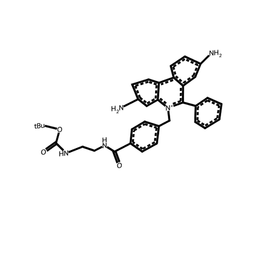 CC(C)(C)OC(=O)NCCNC(=O)c1ccc(C[n+]2c(-c3ccccc3)c3cc(N)ccc3c3ccc(N)cc32)cc1